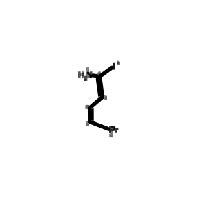 CC(C)/C=C\C=C(/N)I